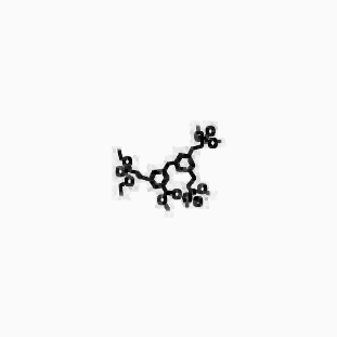 CCOP(=O)(C=Cc1cc(Cc2cc(CCP(=O)(OC)OC)cc(CCP(=O)(OC)OC)c2)cc(C(=O)OC)c1)OCC